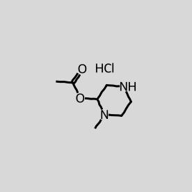 CC(=O)OC1CNCCN1C.Cl